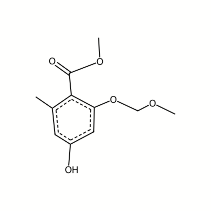 COCOc1cc(O)cc(C)c1C(=O)OC